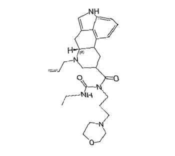 C=CCN1CC(C(=O)N(CCCN2CCOCC2)C(=O)NCC)CC2c3cccc4[nH]cc(c34)C[C@H]21